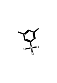 Cc1cc(C)cc([Si](Cl)(Cl)Cl)c1